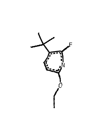 CCOc1ccc(C(C)(C)C)c(F)n1